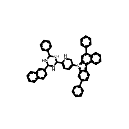 C1=C(C2NC(c3ccccc3)NC(c3ccc4ccccc4c3)N2)NCC(n2c3cc(-c4ccccc4)ccc3c3c4ccccc4c(-c4ccccc4)cc32)=C1